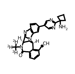 [2H]C([2H])([2H])N1C(=O)c2cccc(C#C)c2[C@H]2C[C@@H]1c1nc3ccc(-c4cnc(C5(N)CCC5)nc4)cc3n12